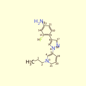 CCCN1C=C(n2cc(-c3ccc(N)cc3F)cn2)C=CC1